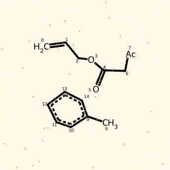 C=CCOC(=O)CC(C)=O.Cc1ccccc1